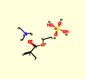 C=C(C)C(=O)OCC.CN(C)C.O=S(=O)(O)O